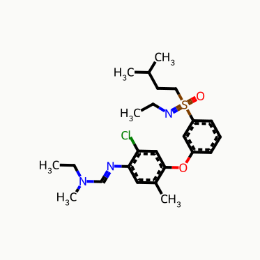 CCN=S(=O)(CCC(C)C)c1cccc(Oc2cc(Cl)c(N=CN(C)CC)cc2C)c1